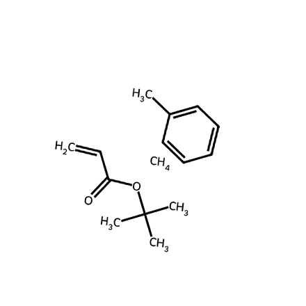 C.C=CC(=O)OC(C)(C)C.Cc1ccccc1